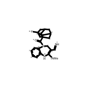 CNC1=C(C=N)CN(C(=O)C23CC4CC(CC(F)(C4)C2)C3)c2ccccc2N1